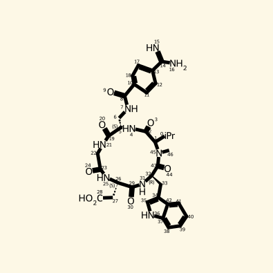 CC(C)C1C(=O)N[C@@H](CNC(=O)c2ccc(C(=N)N)cc2)C(=O)NCC(=O)N[C@@H](CC(=O)O)C(=O)N[C@H](Cc2c[nH]c3ccccc23)C(=O)N1C